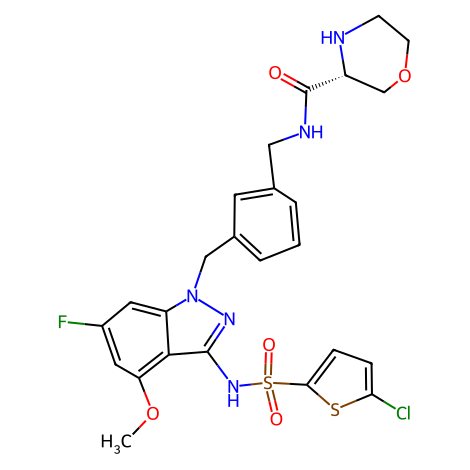 COc1cc(F)cc2c1c(NS(=O)(=O)c1ccc(Cl)s1)nn2Cc1cccc(CNC(=O)[C@H]2COCCN2)c1